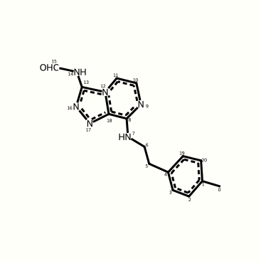 Cc1ccc(CCNc2nccn3c(NC=O)nnc23)cc1